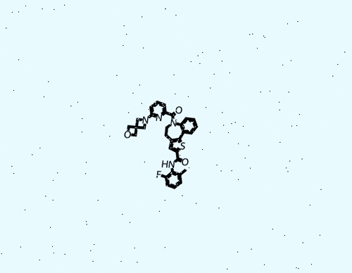 Cc1cccc(F)c1NC(=O)c1cc2c(s1)-c1ccccc1N(C(=O)c1cccc(N3CC4(COC4)C3)n1)CC2